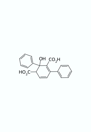 O=C(O)C1=C(c2ccccc2)C=CC(C(=O)O)C1(O)c1ccccc1